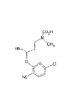 CCCCC(CCN(C)C(=O)O)Oc1cc(Cl)ccc1C#N